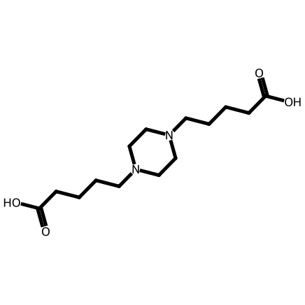 O=C(O)CCCCN1CCN(CCCCC(=O)O)CC1